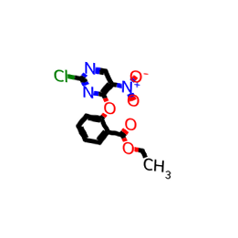 CCOC(=O)c1ccccc1Oc1nc(Cl)ncc1[N+](=O)[O-]